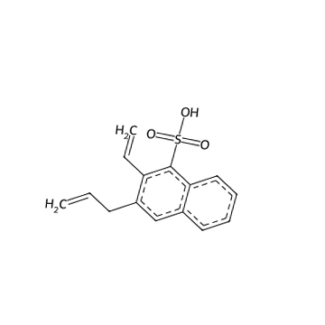 C=CCc1cc2ccccc2c(S(=O)(=O)O)c1C=C